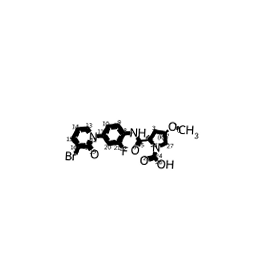 CO[C@@H]1C[C@H](C(=O)Nc2ccc(-n3cccc(Br)c3=O)cc2F)N(C(=O)O)C1